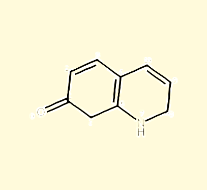 O=C1C=CC2=C(C1)N[C]C=C2